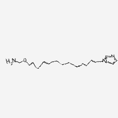 NCOCCCCCCCCCCCCCn1ccnc1